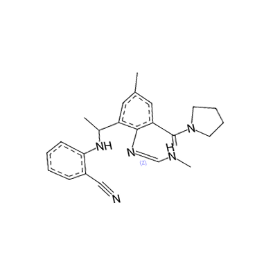 C=C(c1cc(C)cc(C(C)Nc2ccccc2C#N)c1/N=C\NC)N1CCCC1